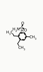 CCc1ccc(C)cc1CC.N[SH](=O)=O